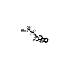 CC(C)CC1c2[nH]c3ccccc3c2CCN1C(=O)CNC(=O)CNC(=O)OC(C)(C)C